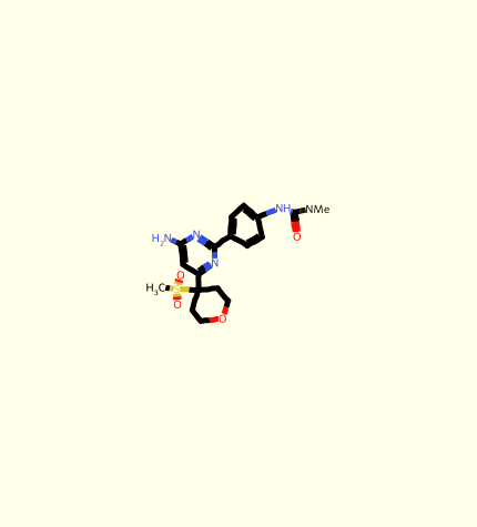 CNC(=O)Nc1ccc(-c2nc(N)cc(C3(S(C)(=O)=O)CCOCC3)n2)cc1